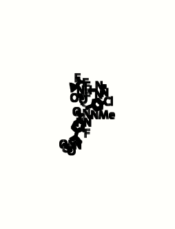 CNC(=N)N(C(=O)c1ccc(-c2cnn(S(C)(=O)=O)c2)c(F)c1)[C@H](COC(=O)NC1(C(F)F)CC1)c1ccc(Cl)c(-n2ncnc2C(F)F)c1